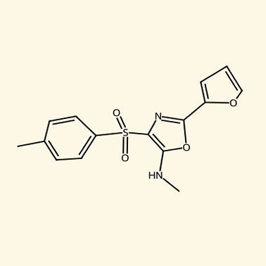 CNc1oc(-c2ccco2)nc1S(=O)(=O)c1ccc(C)cc1